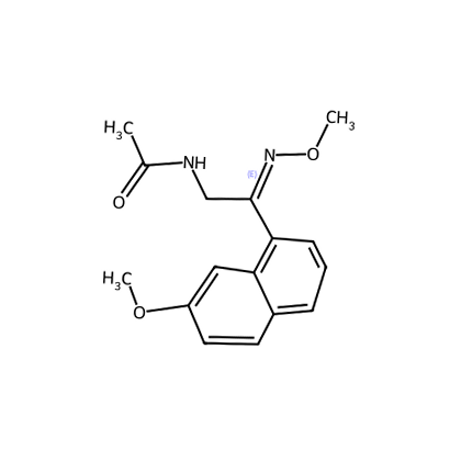 CO/N=C(/CNC(C)=O)c1cccc2ccc(OC)cc12